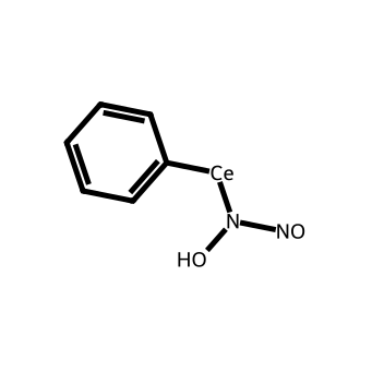 O=N[N](O)[Ce][c]1ccccc1